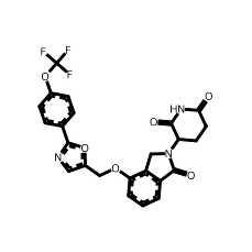 O=C1CCC(N2Cc3c(OCc4cnc(-c5ccc(OC(F)(F)F)cc5)o4)cccc3C2=O)C(=O)N1